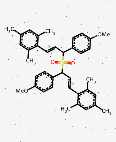 COc1ccc(C(/C=C/c2c(C)cc(C)cc2C)S(=O)(=O)C(/C=C/c2c(C)cc(C)cc2C)c2ccc(OC)cc2)cc1